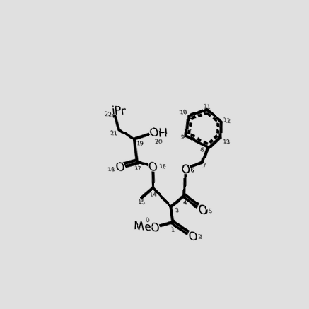 COC(=O)C(C(=O)OCc1ccccc1)C(C)OC(=O)C(O)CC(C)C